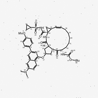 COc1ccc(-c2cc3cc(N(C)C)ccc3c(OC3C[C@H]4C(=O)N[C@]5(C(=O)NS(=O)(=O)C6CC6)CC5/C=C\CCCCC[C@H](NC(=O)OC(C)(C)C)C(=O)N4C3)n2)cc1